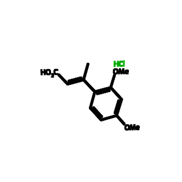 COc1ccc(C(C)=CC(=O)O)c(OC)c1.Cl